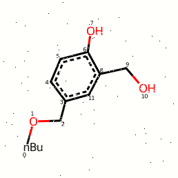 CCCCOCc1ccc(O)c(CO)c1